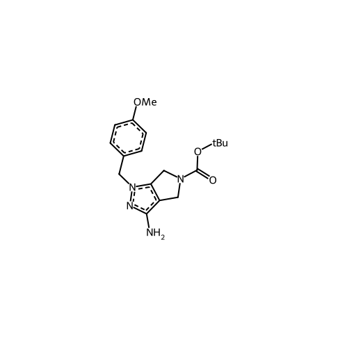 COc1ccc(Cn2nc(N)c3c2CN(C(=O)OC(C)(C)C)C3)cc1